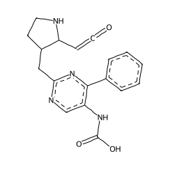 O=C=CC1NCCC1Cc1ncc(NC(=O)O)c(-c2ccccc2)n1